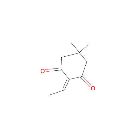 CC=C1C(=O)CC(C)(C)CC1=O